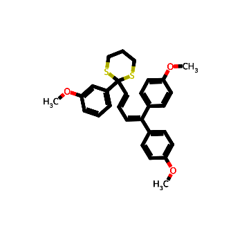 COc1ccc(C(=CC=CC2(c3cccc(OC)c3)SCCCS2)c2ccc(OC)cc2)cc1